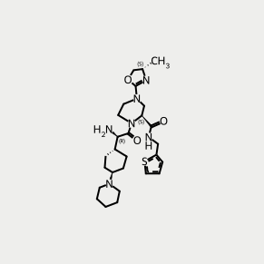 C[C@H]1COC(N2CCN(C(=O)[C@H](N)[C@H]3CC[C@H](N4CCCCC4)CC3)[C@H](C(=O)NCc3cccs3)C2)=N1